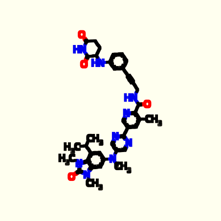 Cc1cc(-c2ncc(N(C)c3cc(C(C)C)c4c(c3)n(C)c(=O)n4C)cn2)cnc1C(=O)NCC#Cc1cccc(NC2CCC(=O)NC2=O)c1